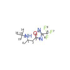 CC(Cc1nc(C(F)(F)F)no1)NC(C)(C)C